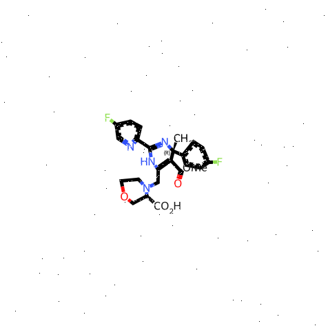 COC(=O)C1=C(CN2CCOCC2C(=O)O)NC(c2ccc(F)cn2)=N[C@]1(C)c1ccc(F)cc1